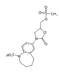 CS(=O)(=O)OCC1CN(c2ccc3c(c2)CCCCN3C(=O)O)C(=O)O1